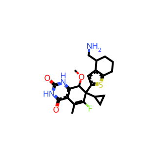 COC1c2[nH]c(=O)[nH]c(=O)c2C(C)=C(F)C1(c1cc2c(s1)CCCC2CN)C1CC1